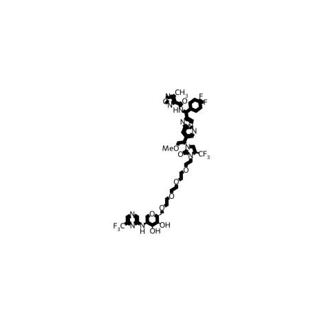 COCC(c1cnn2cc(C(NC(=O)c3nonc3C)C3CCC(F)(F)CC3)nc2c1)N1C[C@@H](C(F)(F)F)N(CCOCCOCCOCCOC[C@H]2OC[C@H](Nc3cncc(C(F)(F)F)n3)[C@@H](O)[C@H]2O)C1=O